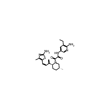 C=C(/C=C\c1sc(N)nc1C)[C@@H]1CC[C@@H](C)CN1C(=O)C(=O)Nc1cnc(N)c(CC)c1